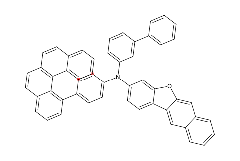 c1ccc(-c2cccc(N(c3ccc(-c4cccc5ccc6ccc7ccccc7c6c45)cc3)c3ccc4c(c3)oc3cc5ccccc5cc34)c2)cc1